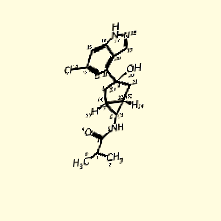 CC(C)C(=O)N[C@H]1[C@@H]2C[C@](O)(c3cc(Cl)cc4[nH]ncc34)C[C@@H]21